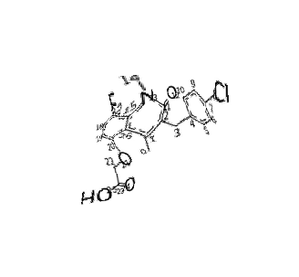 Cc1c(Cc2ccc(Cl)cc2)c(=O)n(C)c2c(F)ccc(OCC(=O)O)c12